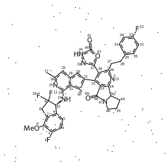 COc1c(F)ccc2c1CC(F)(F)[C@H]2Nc1nc(C)cc2cc(-c3c4c(nc(CCc5ccc(F)cc5)c3-c3n[nH]c(=O)o3)C3CCCN3C4=O)sc12